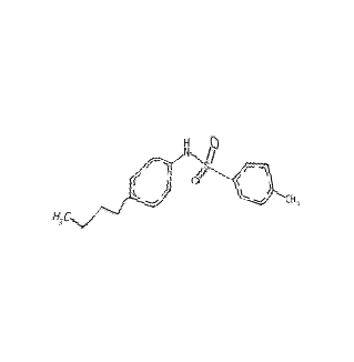 CCCCc1ccc(NS(=O)(=O)c2ccc(C)cc2)cc1